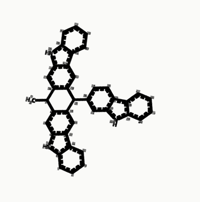 CC1c2cc3[nH]c4ccccc4c3cc2C(c2ccc3c(c2)[nH]c2ccccc23)c2cc3c(cc21)[nH]c1ccccc13